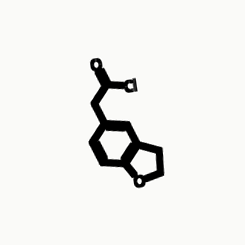 O=C(Cl)Cc1ccc2c(c1)CCO2